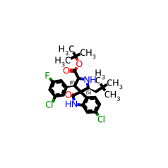 CC(C)(C)C[C@@H]1NC(C(=O)OC(C)(C)C)[C@H](c2cc(F)cc(Cl)c2)C12C(=O)Nc1cc(Cl)ccc12